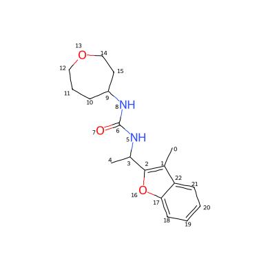 Cc1c(C(C)NC(=O)NC2CCCOCC2)oc2ccccc12